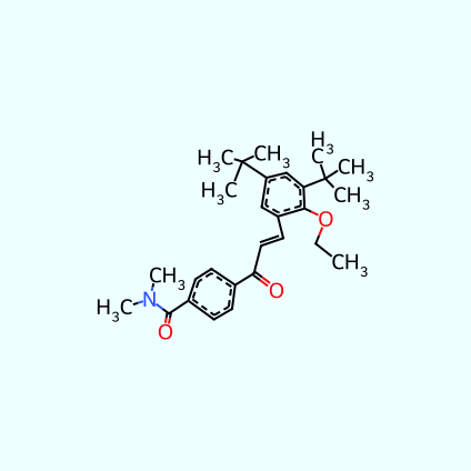 CCOc1c(C=CC(=O)c2ccc(C(=O)N(C)C)cc2)cc(C(C)(C)C)cc1C(C)(C)C